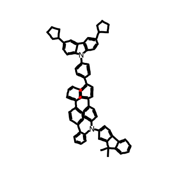 CC1(C)c2ccccc2-c2ccc(N(c3ccc(-c4ccc(-c5ccc(-n6c7ccc(C8CCCC8)cc7c7cc(C8CCCC8)ccc76)cc5)cc4)cc3)c3ccccc3-c3ccc(-c4ccccc4)cc3)cc21